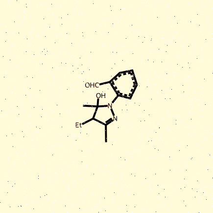 CCC1C(C)=NN(c2ccccc2C=O)C1(C)O